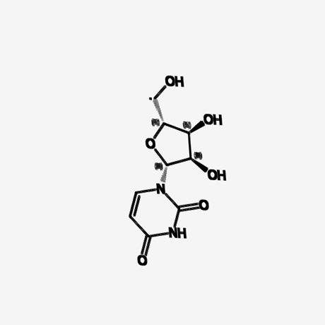 O=c1ccn([C@@H]2O[C@H]([CH]O)[C@@H](O)[C@H]2O)c(=O)[nH]1